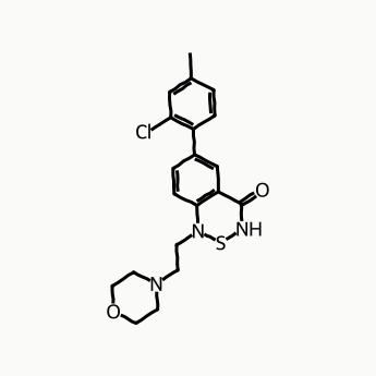 Cc1ccc(-c2ccc3c(c2)C(=O)NSN3CCN2CCOCC2)c(Cl)c1